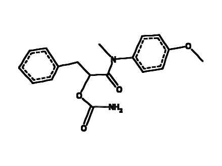 COc1ccc(N(C)C(=O)C(Cc2ccccc2)OC(N)=O)cc1